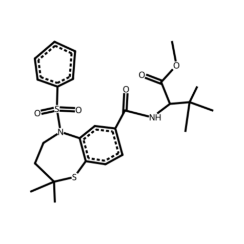 COC(=O)C(NC(=O)c1ccc2c(c1)N(S(=O)(=O)c1ccccc1)CCC(C)(C)S2)C(C)(C)C